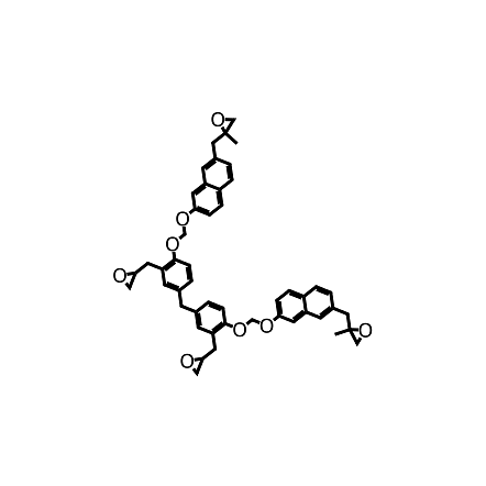 CC1(Cc2ccc3ccc(OCOc4ccc(Cc5ccc(OCOc6ccc7ccc(CC8(C)CO8)cc7c6)c(CC6CO6)c5)cc4CC4CO4)cc3c2)CO1